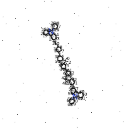 CC1(C)c2cc(-c3ccc(/C=C/c4ccc5c(c4)c4ccccc4n5-c4ccccc4)cc3)ccc2-c2ccc(-c3ccc4c(c3)C(C)(C)c3cc(-c5ccc6c(c5)c5ccccc5n6-c5ccccc5)ccc3-4)cc21